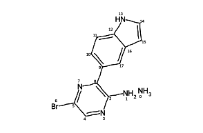 N.Nc1ncc(Br)nc1-c1ccc2[nH]ccc2c1